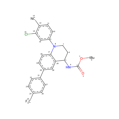 CC(C)(C)OC(=O)NC1CCN(c2ccc(C#N)c(Cl)c2)c2ccc(-c3ccc(C(F)(F)F)cc3)cc21